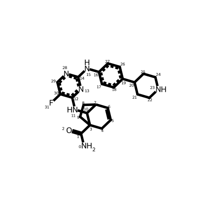 NC(=O)C12CC=CC(CC1)C2Nc1nc(Nc2ccc(C3CCNCC3)cc2)ncc1F